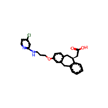 O=C(O)C[C@@H]1Cc2ccc(OCCCNc3cc(Cl)ccn3)cc2Cc2ccccc21